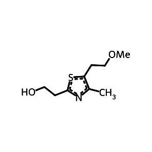 COCCc1sc(CCO)nc1C